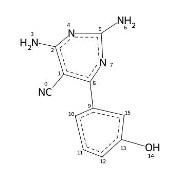 N#Cc1c(N)nc(N)nc1-c1cccc(O)c1